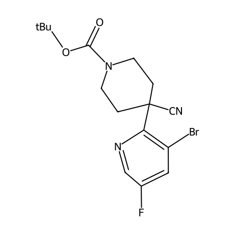 CC(C)(C)OC(=O)N1CCC(C#N)(c2ncc(F)cc2Br)CC1